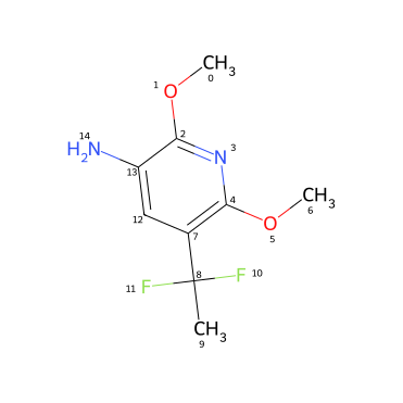 COc1nc(OC)c(C(C)(F)F)cc1N